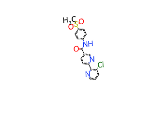 CS(=O)(=O)c1ccc(NC(=O)c2ccc(-c3ncccc3Cl)nc2)cc1